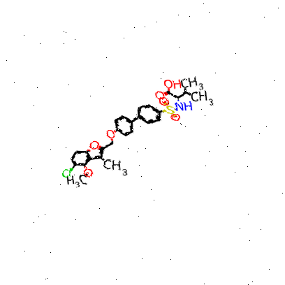 COc1c(Cl)ccc2oc(COc3ccc(-c4ccc(S(=O)(=O)N[C@H](C(=O)O)C(C)C)cc4)cc3)c(C)c12